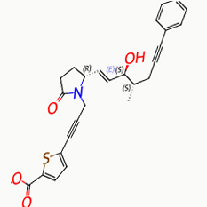 COC(=O)c1ccc(C#CCN2C(=O)CC[C@@H]2/C=C/[C@@H](O)[C@@H](C)CC#Cc2ccccc2)s1